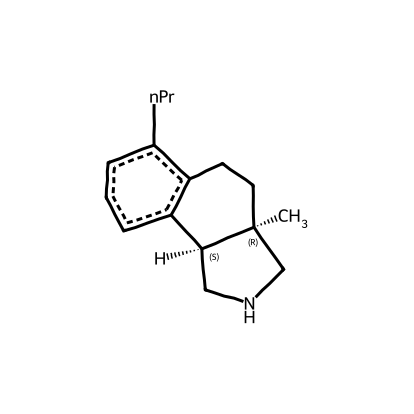 CCCc1cccc2c1CC[C@@]1(C)CNC[C@@H]21